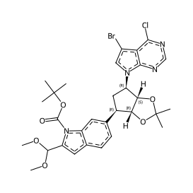 COC(OC)c1cc2ccc([C@H]3C[C@@H](n4cc(Br)c5c(Cl)ncnc54)[C@@H]4OC(C)(C)O[C@@H]43)cc2n1C(=O)OC(C)(C)C